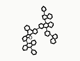 c1ccc(-c2ccc(-c3c4ccccc4c(-c4cccc(-c5cccc6ccccc56)c4)c4cc(-c5ccc6c(c5)c5ccccc5c5c7cccc(-c8c9ccccc9c(-c9ccccc9)c9ccccc89)c7oc65)ccc34)c3ccccc23)cc1